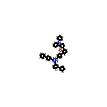 C1=CC2c3cccc(-c4ccc(-c5nc(-c6ccc(-c7ccccc7)cc6)nc(-c6cccc(-c7ccccc7)c6)n5)cc4)c3OC2c2c1n(-c1ccccc1)c1ccccc21